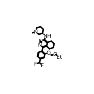 CCOCOc1cc(C(F)F)ccc1-c1nnc(N[C@@H]2CCCN(C)C2)c2c1CCCC2